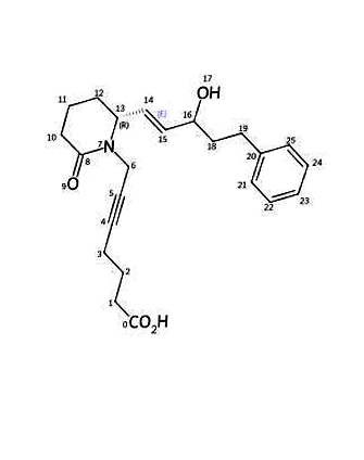 O=C(O)CCCC#CCN1C(=O)CCC[C@@H]1/C=C/C(O)CCc1ccccc1